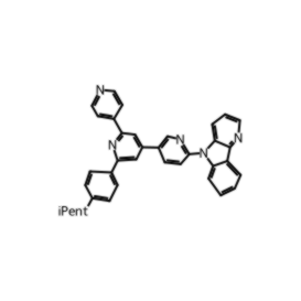 CCCC(C)c1ccc(-c2cc(-c3ccc(-n4c5ccccc5c5ncccc54)nc3)cc(-c3ccncc3)n2)cc1